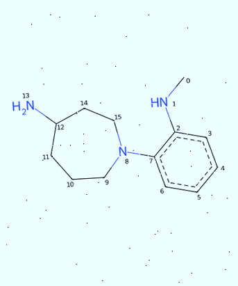 CNc1ccccc1N1CCCC(N)CC1